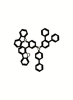 c1ccc(-c2ccc(N(c3ccc(-c4ccccc4)c(-c4ccccc4)c3)c3ccc(-n4c5ccccc5c5ccccc54)c(-c4cccc5c4oc4ccccc45)c3)cc2)cc1